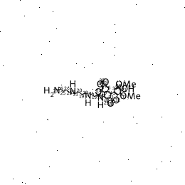 COc1cc(C2c3cc4c(cc3C(NC(=O)CCNCCCCNCCCCN)C3COC(=O)C23)OCO4)cc(OC)c1O